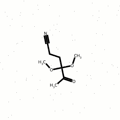 COC(CCC#N)(OC)C(C)=O